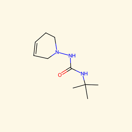 CC(C)(C)NC(=O)NN1CC=CCC1